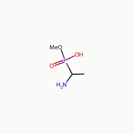 COP(=O)(O)C(C)N